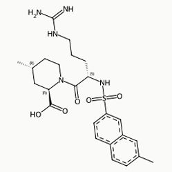 Cc1ccc2ccc(S(=O)(=O)N[C@@H](CCCNC(=N)N)C(=O)N3CC[C@@H](C)C[C@@H]3C(=O)O)cc2c1